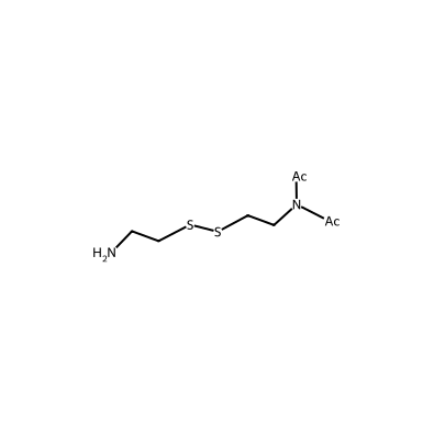 CC(=O)N(CCSSCCN)C(C)=O